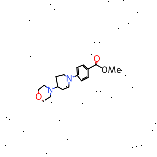 COC(=O)c1ccc(N2CCC(N3CCOCC3)CC2)cc1